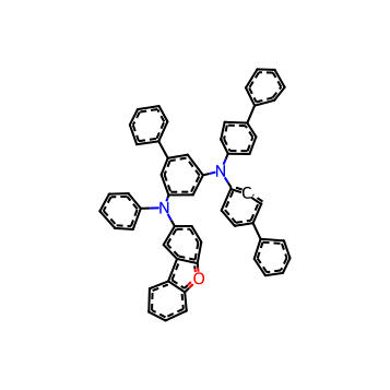 c1ccc(-c2ccc(N(c3ccc(-c4ccccc4)cc3)c3cc(-c4ccccc4)cc(N(c4ccccc4)c4ccc5oc6ccccc6c5c4)c3)cc2)cc1